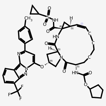 Cc1ccc(-c2cc(O[C@@H]3C[C@H]4C(=O)N[C@]5(C(=O)NS(=O)(=O)C6CC6)C[C@H]5/C=C\CCCCC[C@H](NC(=O)OC5CCCC5)C(=O)N4C3)n3nc4c(C(F)(F)F)cccc4c3n2)cc1